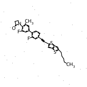 CCCCCc1cc2sc(C#Cc3ccc(-c4cc(C)c(N5CCC5=O)c(F)c4)c(F)c3)cc2s1